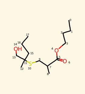 CCCCOC(=O)C(C)CSC(C)(CO)CCC